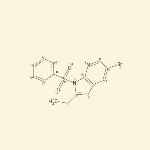 CCc1cc2cc(Br)cnc2n1S(=O)(=O)c1ccccc1